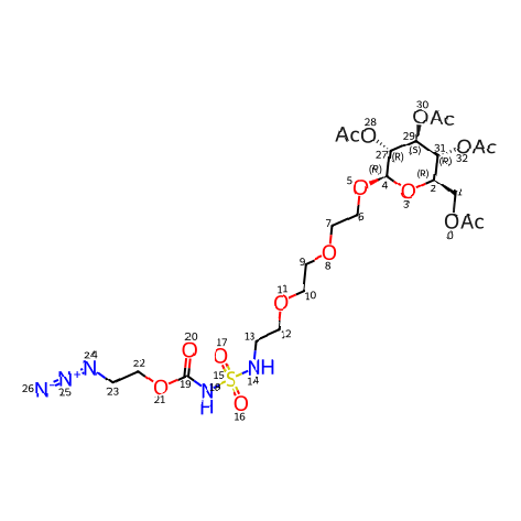 CC(=O)OC[C@H]1O[C@@H](OCCOCCOCCNS(=O)(=O)NC(=O)OCCN=[N+]=[N-])[C@H](OC(C)=O)[C@@H](OC(C)=O)[C@@H]1OC(C)=O